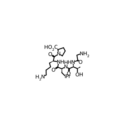 CC(C)C[C@H](NC(=O)[C@@H](NC(=O)CN)[C@@H](C)O)C(=O)N[C@@H](CCCCN)C(=O)N1CCC[C@H]1C(=O)O